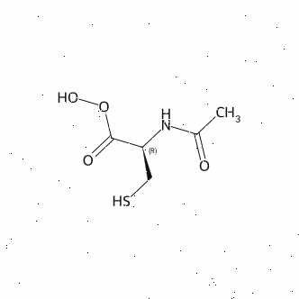 CC(=O)N[C@@H](CS)C(=O)OO